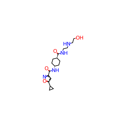 O=C(N[C@H]1CC[C@H](C(=O)NCCNCCO)CC1)c1cc(C2CC2)on1